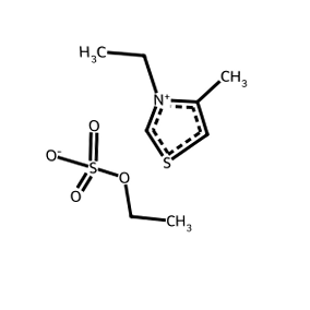 CCOS(=O)(=O)[O-].CC[n+]1cscc1C